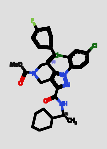 COC(=O)N1C/C(=C\c2ccc(F)cc2)c2c(c(C(=O)N[C@H](C)C3CCCCC3)nn2-c2ccc(Cl)cc2Cl)C1